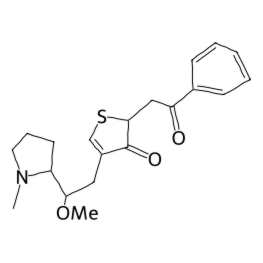 COC(CC1=CSC(CC(=O)c2ccccc2)C1=O)C1CCCN1C